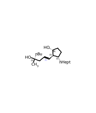 CCCCCCC[C@H]1CC[C@@H](O)[C@@H]1/C=C/C[C@@](C)(O)CCCC